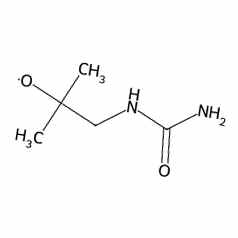 CC(C)([O])CNC(N)=O